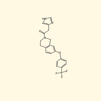 O=C(Cc1c[nH]cn1)N1CCc2ccc(Oc3ccc(C(F)(F)F)cc3)cc2C1